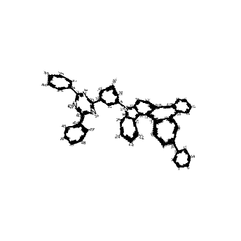 c1ccc(-c2ccc3c(c2)c2ccccc2c2ccc4c(c5ccccc5n4-c4cccc(-c5nc(-c6ccccc6)nc(-c6ccccc6)n5)c4)c23)cc1